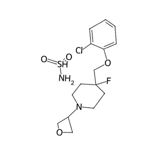 FC1(COc2ccccc2Cl)CCN(C2COC2)CC1.N[SH](=O)=O